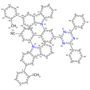 Cc1ccccc1-c1ccc2c(c1)c1ccccc1n2-c1cc(C#N)ccc1-c1ccc(-c2nc(-c3ccccc3)nc(-c3ccccc3)n2)cc1-n1c2ccccc2c2cc(-c3ccccc3C)ccc21